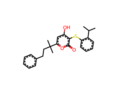 CC(C)c1ccccc1Sc1c(O)cc(C(C)(C)CCc2ccccc2)oc1=O